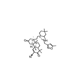 Cc1cc(CNC[C@]2(CC[C@]3(C)CC(=O)C[C@@H]4[C@@]5(C)C=C(C#N)C(=O)C(C)(C)C5CC[C@]43C)CCC(C)(C)CC2C)no1